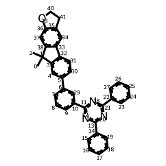 CC1(C)c2cc(-c3cccc(-c4nc(-c5ccccc5)nc(-c5ccccc5)n4)c3)ccc2-c2cc3c(cc21)OCC3